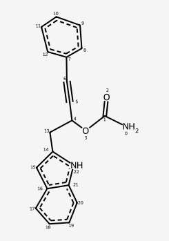 NC(=O)OC(C#Cc1ccccc1)Cc1cc2ccccc2[nH]1